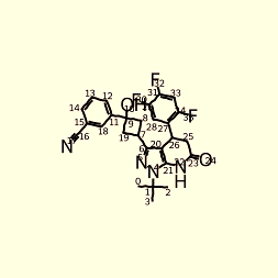 CC(C)(C)n1nc(C2CC(O)(c3cccc(C#N)c3)C2)c2c1NC(=O)CC2c1cc(F)c(F)cc1F